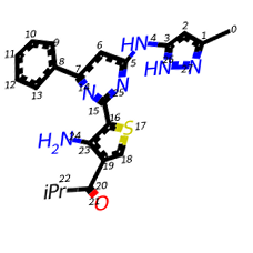 Cc1cc(Nc2cc(-c3ccccc3)nc(-c3scc(C(=O)C(C)C)c3N)n2)[nH]n1